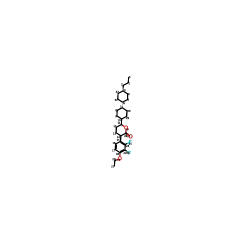 CCC[C@H]1CC[C@H](C2CCC(C3CCC(c4ccc(OCC)c(F)c4F)C(=O)O3)CC2)CC1